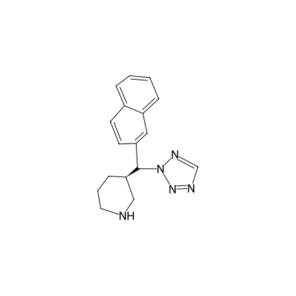 c1ccc2cc(C([C@@H]3CCCNC3)n3ncnn3)ccc2c1